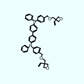 C=CC1(COCc2ccc(N(c3ccccc3)c3ccc(-c4ccc(N(c5ccccc5)c5ccc(COCC6(C=C)COC6)cc5)cc4)cc3)cc2)COC1